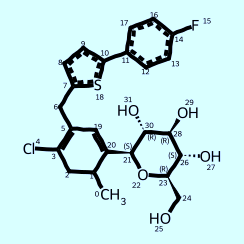 CC1CC(Cl)=C(Cc2ccc(-c3ccc(F)cc3)s2)C=C1[C@@H]1O[C@H](CO)[C@@H](O)[C@H](O)[C@H]1O